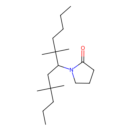 CCCCC(C)(C)C(CC(C)(C)CCC)N1CCCC1=O